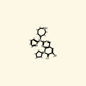 O=c1c(Br)cc2cnc(N(c3ccccn3)C3CCCNCC3)nc2n1C1CCCC1